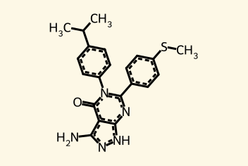 CSc1ccc(-c2nc3[nH]nc(N)c3c(=O)n2-c2ccc(C(C)C)cc2)cc1